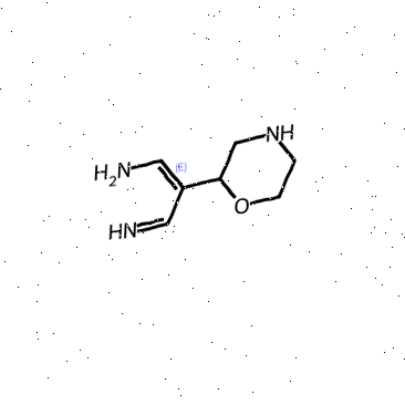 N=C/C(=C\N)C1CNCCO1